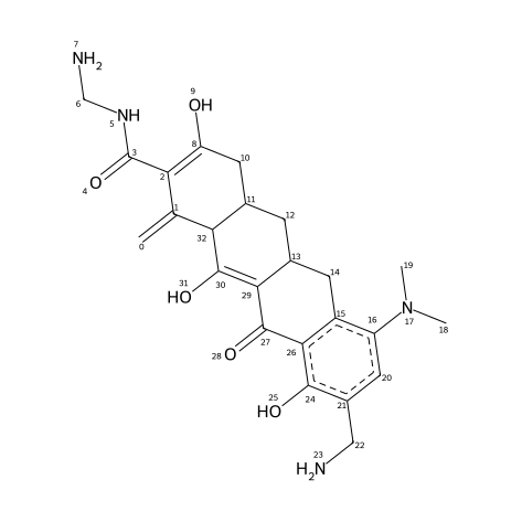 C=C1C(C(=O)NCN)=C(O)CC2CC3Cc4c(N(C)C)cc(CN)c(O)c4C(=O)C3=C(O)C12